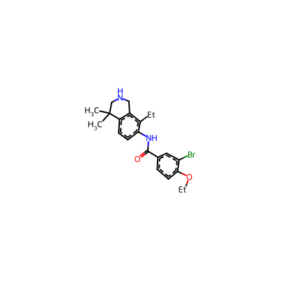 CCOc1ccc(C(=O)Nc2ccc3c(c2CC)CNCC3(C)C)cc1Br